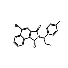 CCN(c1ccc(C)cc1)N1C(=O)c2cc(Br)c3ccccc3c2C1=O